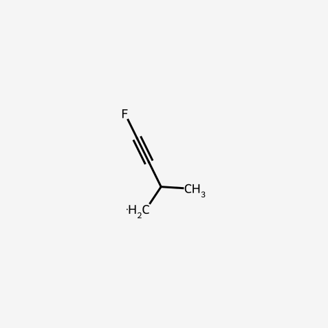 [CH2]C(C)C#CF